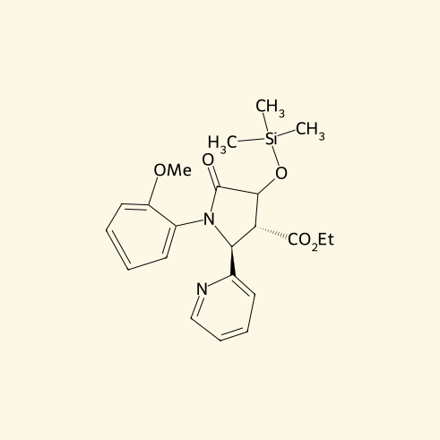 CCOC(=O)[C@H]1C(O[Si](C)(C)C)C(=O)N(c2ccccc2OC)[C@@H]1c1ccccn1